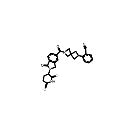 N#Cc1ccccc1C1CC2(C1)CN(C(=O)c1ccc3c(c1)CN(C1CCC(=O)NC1=O)C3=O)C2